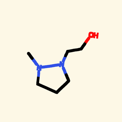 CN1CCCN1CCO